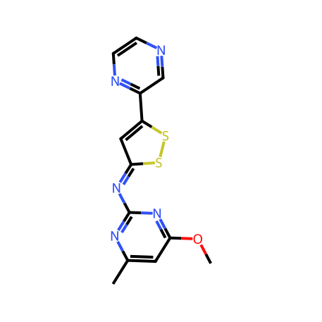 COc1cc(C)nc(N=c2cc(-c3cnccn3)ss2)n1